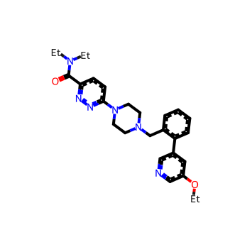 CCOc1cncc(-c2ccccc2CN2CCN(c3ccc(C(=O)N(CC)CC)nn3)CC2)c1